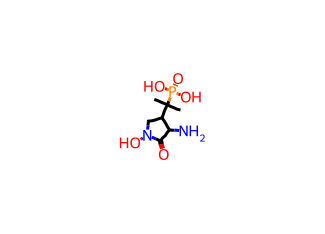 CC(C)(C1CN(O)C(=O)C1N)P(=O)(O)O